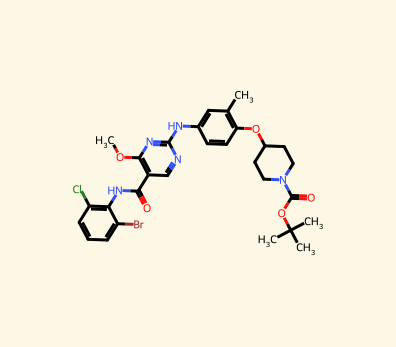 COc1nc(Nc2ccc(OC3CCN(C(=O)OC(C)(C)C)CC3)c(C)c2)ncc1C(=O)Nc1c(Cl)cccc1Br